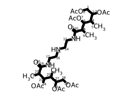 CC(=O)OCC(OC(C)=O)C(C)C(OC(C)=O)C(C)C(=O)NCCNCCNC(=O)C(C)C(OC(C)=O)C(C)C(COC(C)=O)OC(C)=O